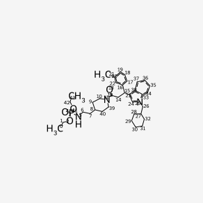 CCOP(=O)(NCCC1CCN(C(=O)CC(c2cccc(C)c2)c2cn(CC3CCCCC3)c3ccccc23)CC1)OCC